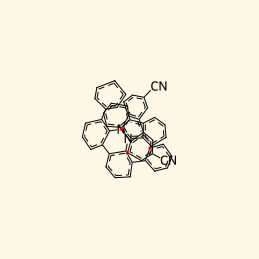 N#Cc1ccc2c(c1)c1cc(C#N)ccc1n2-c1c(-c2ccccc2)cccc1-c1cccc(-c2ccccc2)c1-n1c2ccccc2c2ccccc21